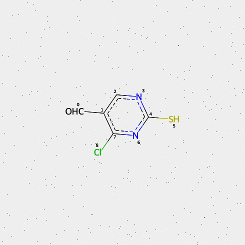 O=Cc1cnc(S)nc1Cl